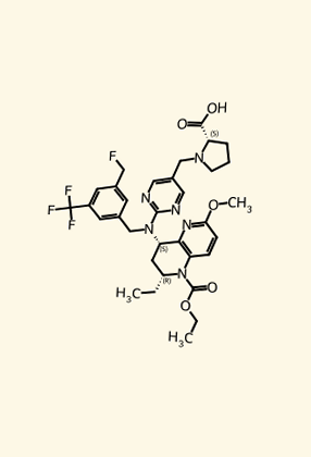 CCOC(=O)N1c2ccc(OC)nc2[C@@H](N(Cc2cc(CF)cc(C(F)(F)F)c2)c2ncc(CN3CCC[C@H]3C(=O)O)cn2)C[C@H]1CC